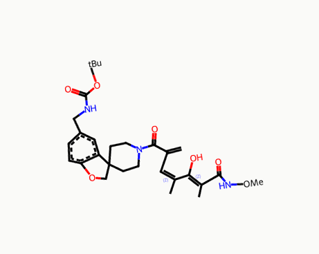 C=C(/C=C(C)\C(O)=C(/C)C(=O)NOC)C(=O)N1CCC2(CC1)COc1ccc(CNC(=O)OC(C)(C)C)cc12